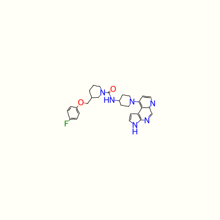 O=C(NC1CCN(c2ccnc3cnc4[nH]ccc4c23)CC1)N1CCCC(COc2ccc(F)cc2)C1